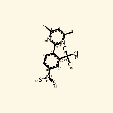 Cc1cc(C)nc(-c2ccc([N+](=S)[S-])cc2C(Cl)(Cl)Cl)n1